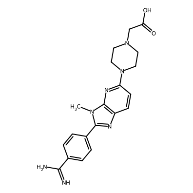 Cn1c(-c2ccc(C(=N)N)cc2)nc2ccc(N3CCN(CC(=O)O)CC3)nc21